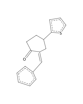 O=C1CCC(c2cccs2)CC1=Cc1ccccc1